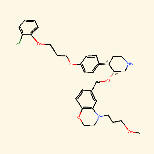 COCCCN1CCOc2ccc(CO[C@H]3CNCC[C@@H]3c3ccc(OCCCOc4ccccc4Cl)cc3)cc21